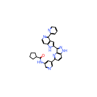 O=C(Nc1cncc(-c2ccc3[nH]nc(-c4cc5c(-c6ccccn6)nccc5[nH]4)c3n2)c1)C1CCCC1